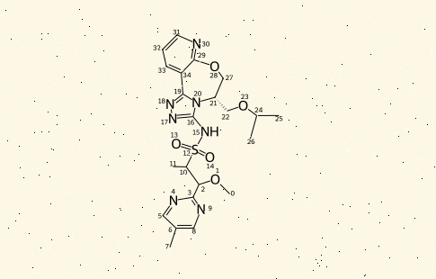 COC(c1ncc(C)cn1)C(C)S(=O)(=O)Nc1nnc2n1[C@@H](COC(C)C)COc1ncccc1-2